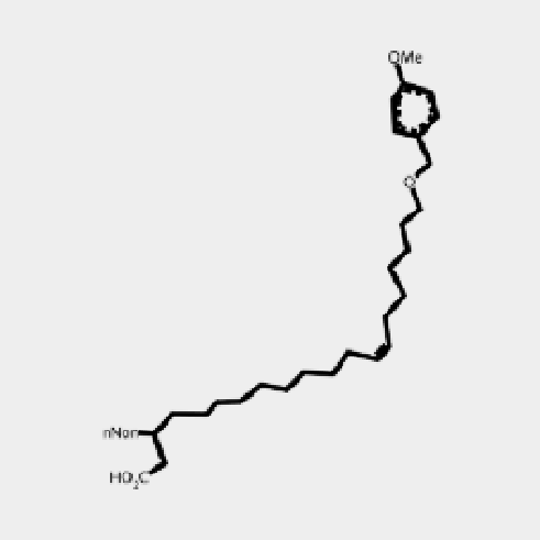 CCCCCCCCCC(CCCCCCCCC/C=C\CCCCCCOCc1ccc(OC)cc1)CC(=O)O